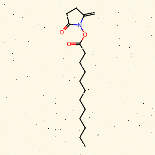 C=C1CCC(=O)N1OC(=O)CCCCCCCCCCC